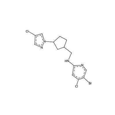 Clc1cnn(C2CCC(CNc3cc(Cl)c(Br)cn3)C2)c1